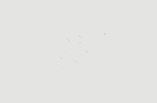 CCC(CO)n1cnc2c(Nc3ccccc3C(=O)O)ncnc21